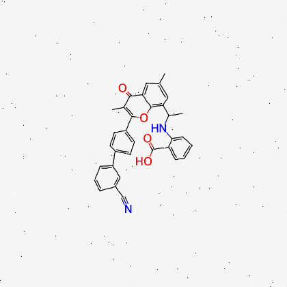 Cc1cc(C(C)Nc2ccccc2C(=O)O)c2oc(-c3ccc(-c4cccc(C#N)c4)cc3)c(C)c(=O)c2c1